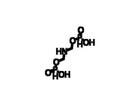 O=[PH](O)OCNCO[PH](=O)O